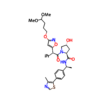 COC(CCCOc1cc(C(C(=O)N2C[C@H](O)C[C@H]2C(=O)N[C@@H](C)c2ccc(-c3scnc3C)cc2)C(C)C)on1)OC